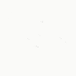 Cc1cc(Nc2nc(N)c3oc(C4CC4)cc3n2)cc2[nH]ncc12